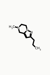 CCCc1cc2n(n1)CCN(C)C2